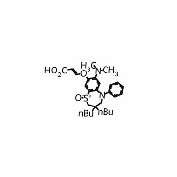 CCCCC1(CCCC)CN(c2ccccc2)c2cc(N(C)C)c(O/C=C/C(=O)O)cc2[S+]([O-])C1